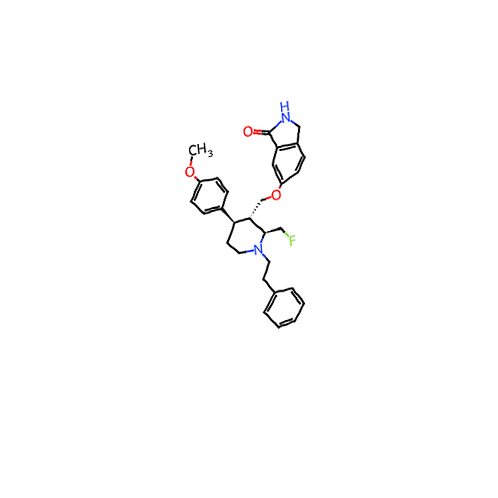 COc1ccc([C@@H]2CCN(CCc3ccccc3)[C@H](CF)[C@H]2COc2ccc3c(c2)C(=O)NC3)cc1